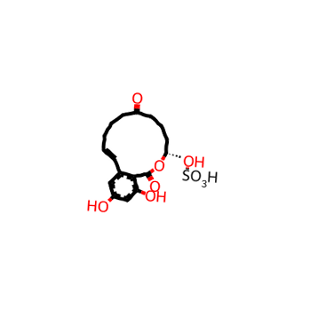 C[C@H]1CCCC(=O)CCC/C=C/c2cc(O)cc(O)c2C(=O)O1.O=S(=O)(O)O